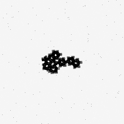 CC1(C)c2ccccc2-c2c1cc1ccccc1c2N(C1=CCCC=C1)c1ccc(-c2ccc3ccccc3c2)cc1